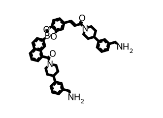 NCc1cccc(C2CCN(C(=O)C=Cc3ccc4c(c3)OB(c3ccc5cccc(C(=O)N6CCC(c7cccc(CN)c7)CC6)c5c3)O4)CC2)c1